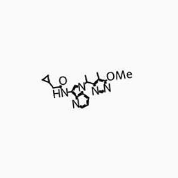 COc1ncnc(C(C)n2cc(NC(=O)CC3CC3)c3ncccc32)c1C